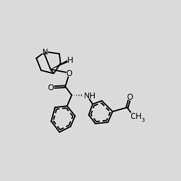 CC(=O)c1cccc(N[C@@H](C(=O)O[C@H]2CN3CCC2CC3)c2ccccc2)c1